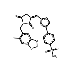 Cc1cc2c(cc1CN1C(=O)CC(=Cc3ccc(-c4ccc(S(N)(=O)=O)cc4)o3)C1=O)OCO2